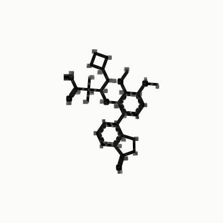 COc1ccc(-c2cccc3c2CCC3=O)c(OC(CC2CCC2)C(C)(C)C(=O)O)c1OC